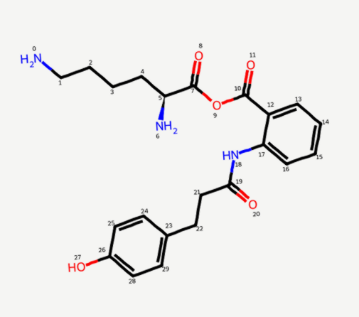 NCCCC[C@H](N)C(=O)OC(=O)c1ccccc1NC(=O)CCc1ccc(O)cc1